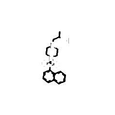 CC(O)CN1CCN(S(=O)(=O)c2cccc3ccccc23)CC1